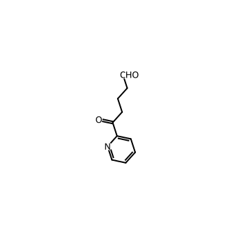 O=CCCCC(=O)c1ccccn1